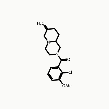 C=C1CCC2CN(C(=O)c3cccc(OC)c3Cl)CCN2C1